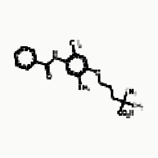 Cc1cc(OCCCC(C)(C)C(=O)O)c(C)cc1NC(=O)c1ccccc1